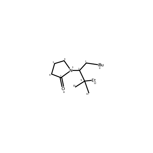 CCC(C)CC(N1CCCC1=O)C(C)(C)CC